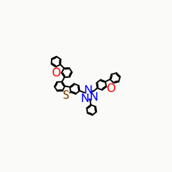 c1ccc(-c2nc(-c3ccc4c(c3)oc3ccccc34)nc(-c3ccc4c(c3)sc3cccc(-c5cccc6c5oc5ccccc56)c34)n2)cc1